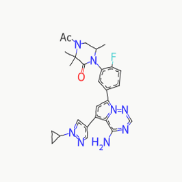 CC(=O)N1CC(C)N(c2cc(-c3cc(-c4cnn(C5CC5)c4)c4c(N)ncnn34)ccc2F)C(=O)C1(C)C